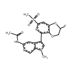 CC(=O)Nc1cc2c(-c3nc(S(C)(=O)=O)cc4c3OCC(F)O4)cn(C)c2cn1